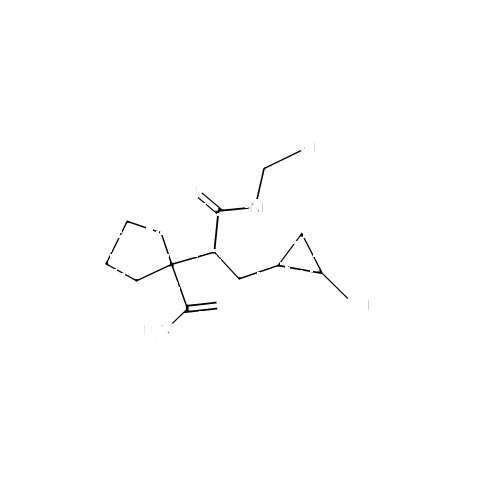 CCNC(=O)C(CC1CC1C)C1(C(N)=O)CCCC1